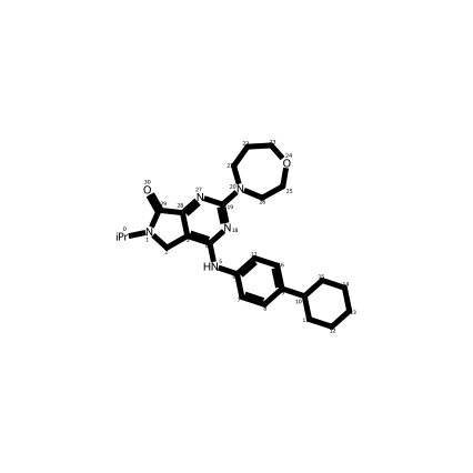 CC(C)N1Cc2c(Nc3ccc(C4CCCCC4)cc3)nc(N3CCCOCC3)nc2C1=O